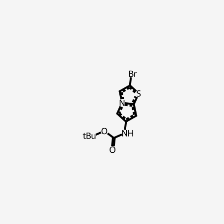 CC(C)(C)OC(=O)Nc1cc2sc(Br)cn2c1